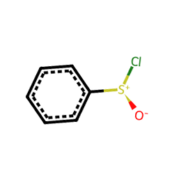 [O-][S@+](Cl)c1ccccc1